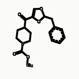 CC(C)(C)OC(=O)N1CCC(C(=O)C2=COC(Cc3ccccc3)O2)CC1